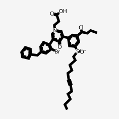 CCCCCC#CCCCCC[S+]([O-])c1cc(-c2cn(CCC(=O)O)cc(-c3ccc(Cc4ccccc4)cc3Br)c2=O)cc(C(Cl)CCC)c1